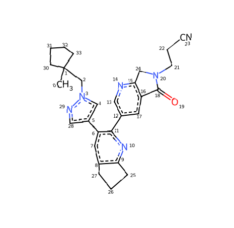 CC1(Cn2cc(-c3cc4c(nc3-c3cnc5c(c3)C(=O)N(CCC#N)C5)CCC4)cn2)CCCC1